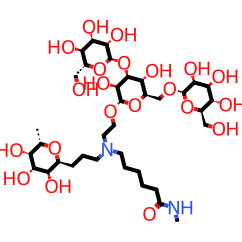 CNC(=O)CCCCCN(CCC[C@@H]1O[C@@H](C)[C@@H](O)[C@@H](O)[C@@H]1O)CCO[C@H]1O[C@H](CO[C@H]2O[C@H](CO)[C@@H](O)[C@H](O)[C@@H]2O)[C@@H](O)[C@H](O[C@H]2O[C@H](CO)[C@@H](O)[C@H](O)[C@@H]2O)[C@@H]1O